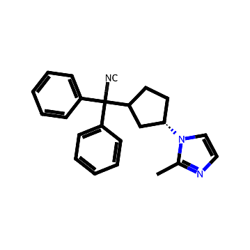 [C-]#[N+]C(c1ccccc1)(c1ccccc1)C1CC[C@H](n2ccnc2C)C1